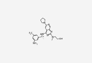 C[C@@H](Nc1nc(N(C)CCO)nc2cnc(N3CCCC3)cc12)c1cc([N+](=O)[O-])cc(C(F)(F)F)c1